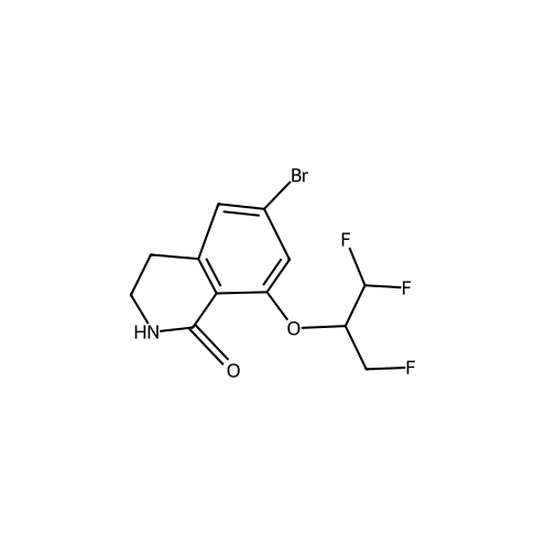 O=C1NCCc2cc(Br)cc(OC(CF)C(F)F)c21